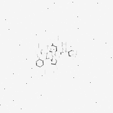 CCc1cnn([C@@H](c2ccccc2Cl)[C@@H](C)c2nc(C(=O)Nc3cnoc3)c(O)c(=O)n2C)c1